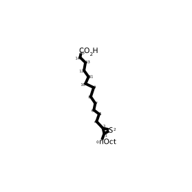 CCCCCCCCC1SC1CCCCCCCCCCCC(=O)O